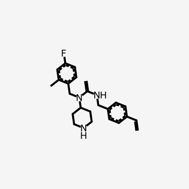 C=Cc1ccc(CNC(=C)N(Cc2ccc(F)cc2C)C2CCNCC2)cc1